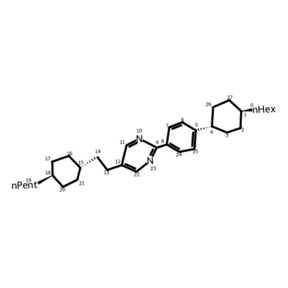 CCCCCC[C@H]1CC[C@H](c2ccc(-c3ncc(CC[C@H]4CC[C@H](CCCCC)CC4)cn3)cc2)CC1